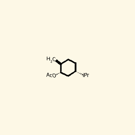 C=C1CC[C@H](C(C)C)C[C@@H]1OC(C)=O